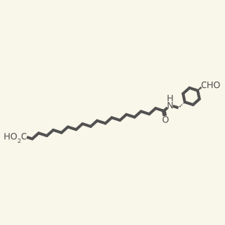 O=C[C@H]1CC[C@H](CNC(=O)CCCCCCCCCCCCCCCCCCC(=O)O)CC1